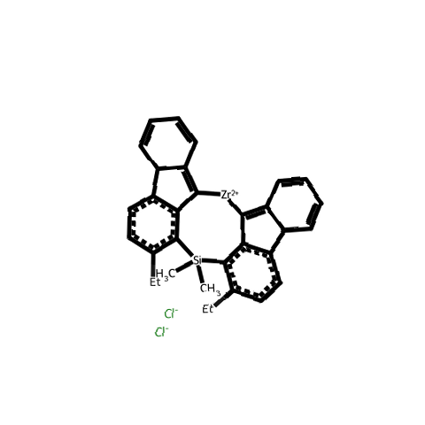 CCc1ccc2c3c1[Si](C)(C)c1c(CC)ccc4c1[C](=C1C=CC=CC14)[Zr+2][C]3=C1C=CC=CC12.[Cl-].[Cl-]